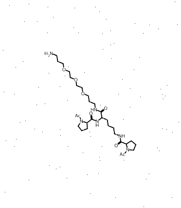 CC(=O)N1CCCC1C(=O)NCCCCC(NC(=O)C1CCCN1C(C)=O)C(=O)NCCCOCCOCCOCCCN